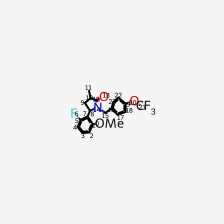 COc1cccc(F)c1C1CC(C)C(=O)N1Cc1ccc(OC(F)(F)F)cc1